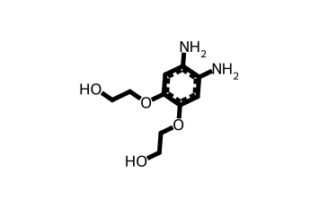 Nc1cc(OCCO)c(OCCO)cc1N